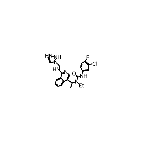 CCN(C(=O)Nc1ccc(F)c(Cl)c1)C(C)c1cnc(NCN2C=CNN2)c2ccccc12